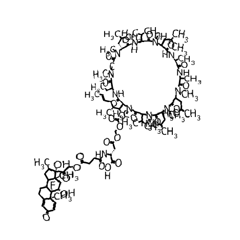 CC=CC[C@H](C)C(OC(=O)OCOC(=O)C[C@@H](NC(=O)CCC(=O)OCC(=O)[C@]1(O)[C@H](C)CC2C3CCC4=CC(=O)C=C[C@@]4(C)[C@]3(F)[C@H](O)C[C@]21C)C(=O)O)C1C(=O)NC(CC)C(=O)N(C)CC(=O)N(C)[C@H](CC(C)C)C(=O)NC(C(C)C)C(=O)N(C)C(CC(C)C)C(=O)NC(C)C(=O)NC(C)C(=O)N(C)C(CC(C)C)C(=O)N(C)C(CC(C)C)C(=O)N(C)C(C(C)C)C(=O)N1C